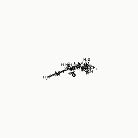 CSCC[C@H](NC(=O)[C@H](CC(C)C)NC(=O)[C@H](Cc1c[nH]cn1)NC(=O)CNC(=O)[C@@H](NC(=O)[C@H](C)NC(=O)[C@H](Cc1c[nH]c2ccccc12)NC(=O)[C@H](CCC(N)=O)NC(=O)COCCOCCNC(=O)COCCOCCN)C(C)C)C(N)=O